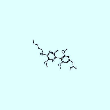 CCCCCNc1nc(C)c(-c2c(OC)cc(CC(C)F)cc2OC)nc1OC